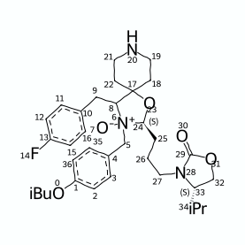 CC(C)COc1ccc(C[N+]2([O-])C(Cc3ccc(F)cc3)C3(CCNCC3)O[C@H]2CCCN2C(=O)OC[C@@H]2C(C)C)cc1